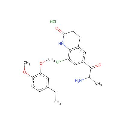 CC(N)C(=O)c1cc(Cl)c2c(c1)CCC(=O)N2.CCc1ccc(OC)c(OC)c1.Cl